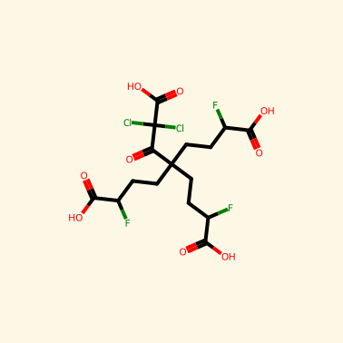 O=C(O)C(F)CCC(CCC(F)C(=O)O)(CCC(F)C(=O)O)C(=O)C(Cl)(Cl)C(=O)O